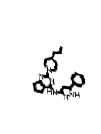 CCCC1CCN(c2nc3c(c(Nc4cc(-c5ccccc5)[nH]n4)n2)CCC3)CC1